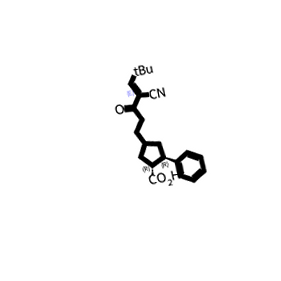 CC(C)(C)/C=C(\C#N)C(=O)CCC1C[C@@H](C(=O)O)[C@H](c2ccccc2)C1